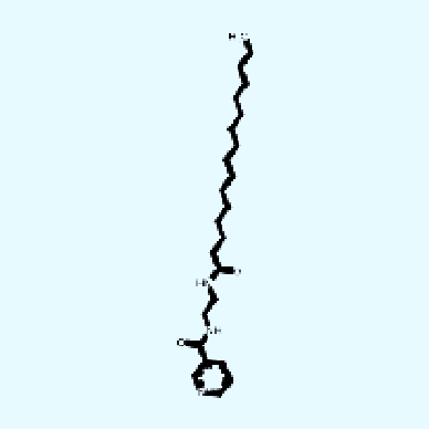 CCCCCCCCCCCCCCCC(=O)NCCNC(=O)c1cccnc1